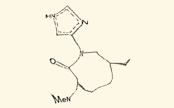 CNC1CCC(C)CN(c2c[nH]cn2)C1=O